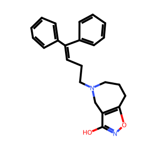 Oc1noc2c1CN(CCC=C(c1ccccc1)c1ccccc1)CCC2